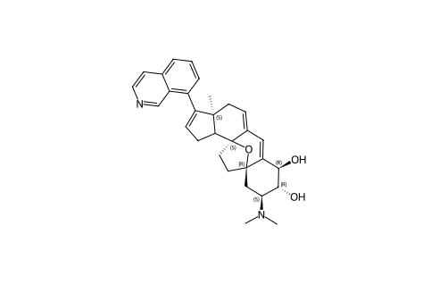 CN(C)[C@H]1C[C@@]23CC[C@@]4(O2)C(=CC[C@]2(C)C(c5cccc6ccncc56)=CCC24)C=C3[C@@H](O)[C@@H]1O